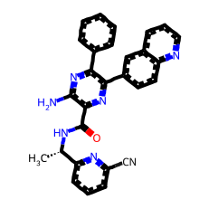 C[C@H](NC(=O)c1nc(-c2ccc3ncccc3c2)c(-c2ccccc2)nc1N)c1cccc(C#N)n1